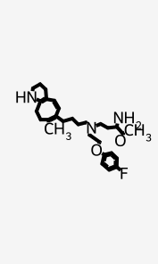 CC(=O)C(N)CCN(CCCCC1=C(\C)CCC2=C(/C=C\1)CCCN2)CCOc1ccc(F)cc1